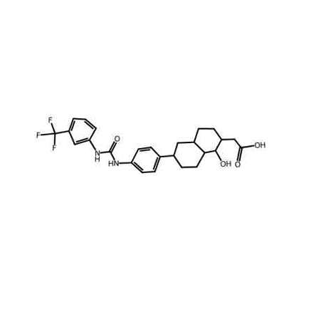 O=C(O)CC1CCC2CC(c3ccc(NC(=O)Nc4cccc(C(F)(F)F)c4)cc3)CCC2C1O